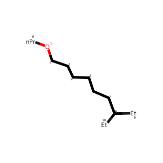 CCCOCCCCCCC(CC)CC